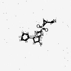 N#CC1CC1S(=O)(=O)c1nc2n(n1)[C@H](c1ccccc1)C[C@@H]2F